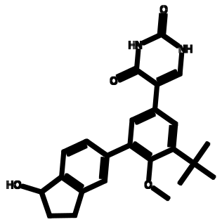 COc1c(-c2ccc3c(c2)CCC3O)cc(-c2c[nH]c(=O)[nH]c2=O)cc1C(C)(C)C